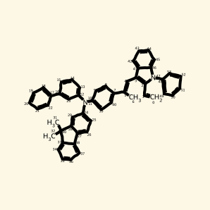 C=Cc1c(/C=C(\C)c2ccc(N(c3cccc(-c4ccccc4)c3)c3ccc4c(c3)C(C)(C)c3ccccc3-4)cc2)c2ccccc2n1-c1ccccc1